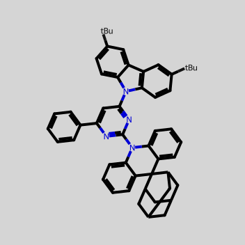 CC(C)(C)c1ccc2c(c1)c1cc(C(C)(C)C)ccc1n2-c1cc(-c2ccccc2)nc(N2c3ccccc3C3(c4ccccc42)C2CC4CC(C2)CC3C4)n1